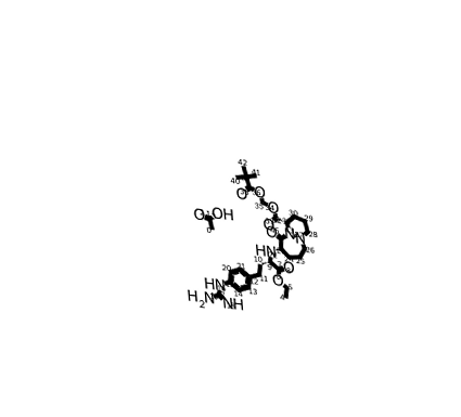 CC(=O)O.CCOC(=O)[C@H](CCc1ccc(NC(=N)N)cc1)N[C@H]1CCCN2CCC[C@@H](C(=O)OCOC(=O)C(C)(C)C)N2C1=O